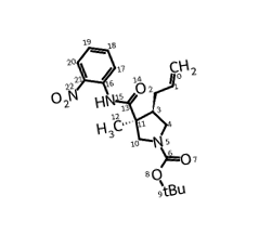 C=CC[C@H]1CN(C(=O)OC(C)(C)C)C[C@@]1(C)C(=O)Nc1ccccc1[N+](=O)[O-]